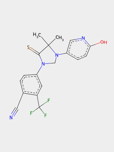 CC1(C)C(=S)N(c2ccc(C#N)c(C(F)(F)F)c2)CN1c1ccc(O)nc1